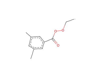 [CH2]COOC(=O)c1cc(C)cc(C)c1